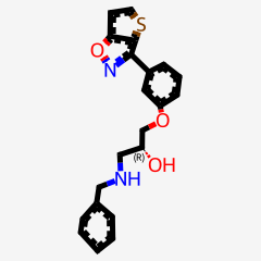 O[C@H](CNCc1ccccc1)COc1cccc(-c2noc3ccsc23)c1